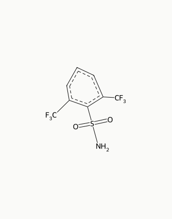 NS(=O)(=O)c1c(C(F)(F)F)cccc1C(F)(F)F